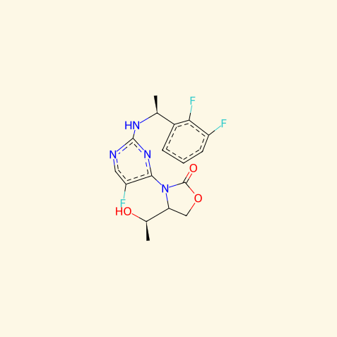 C[C@H](Nc1ncc(F)c(N2C(=O)OCC2[C@@H](C)O)n1)c1cccc(F)c1F